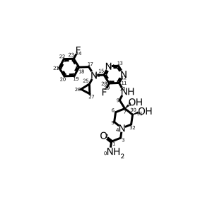 NC(=O)CN1CC[C@](O)(CNc2ncnc(N(Cc3ccccc3F)C3CC3)c2F)[C@@H](O)C1